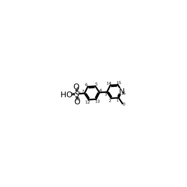 Cc1cc(-c2ccc(S(=O)(=O)O)cc2)ccn1